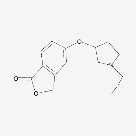 CCN1CCC(Oc2ccc3c(c2)COC3=O)C1